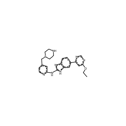 CCOc1cc(-c2ccc3nc(Nc4cc(CN5CCNCC5)ccn4)[nH]c3c2)ncn1